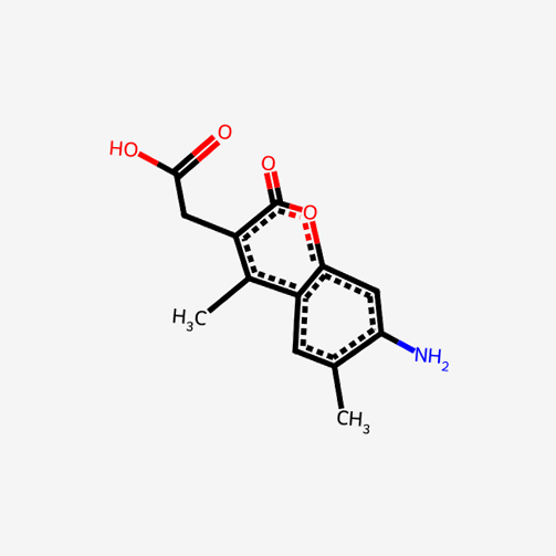 Cc1cc2c(C)c(CC(=O)O)c(=O)oc2cc1N